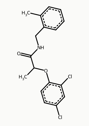 Cc1ccccc1CNC(=O)C(C)Oc1ccc(Cl)cc1Cl